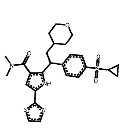 CN(C)C(=O)c1cc(-c2nccs2)[nH]c1C(CC1CCOCC1)c1ccc(S(=O)(=O)C2CC2)cc1